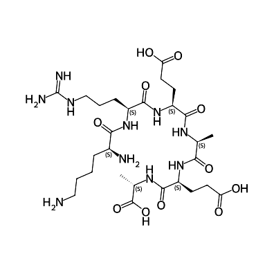 C[C@H](NC(=O)[C@H](CCC(=O)O)NC(=O)[C@H](C)NC(=O)[C@H](CCC(=O)O)NC(=O)[C@H](CCCNC(=N)N)NC(=O)[C@@H](N)CCCCN)C(=O)O